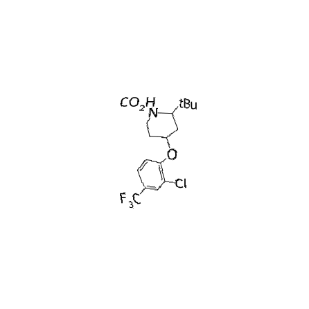 CC(C)(C)C1CC(Oc2ccc(C(F)(F)F)cc2Cl)CCN1C(=O)O